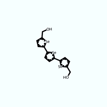 OCc1ccc(-c2ccc(-c3ccc(CO)[se]3)[se]2)[se]1